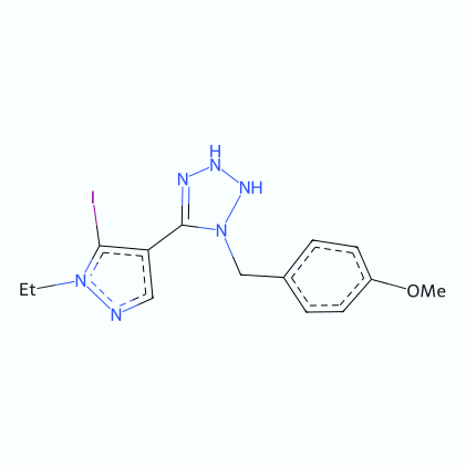 CCn1ncc(C2=NNNN2Cc2ccc(OC)cc2)c1I